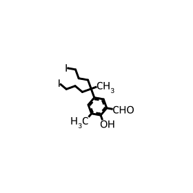 Cc1cc(C(C)(CCCI)CCCI)cc(C=O)c1O